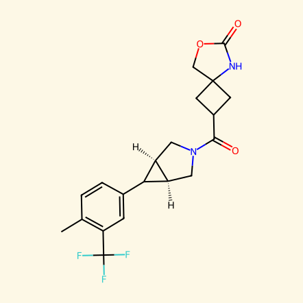 Cc1ccc(C2[C@H]3CN(C(=O)C4CC5(COC(=O)N5)C4)C[C@@H]23)cc1C(F)(F)F